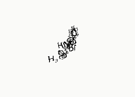 COC(=O)CCC(Br)NC(=O)OCc1ccccc1